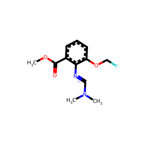 COC(=O)c1cccc(OCF)c1/N=C/N(C)C